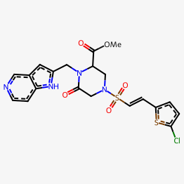 COC(=O)C1CN(S(=O)(=O)/C=C/c2ccc(Cl)s2)CC(=O)N1Cc1cc2cnccc2[nH]1